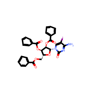 Nc1nc(=O)n([C@@H]2O[C@H](COC(=O)c3ccccc3)[C@@H](OC(=O)c3ccccc3)[C@H]2OC(=O)c2ccccc2)cc1I